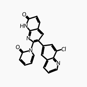 O=c1ccc2cc(-c3cc(Cl)c4ncccc4c3)c(-n3ccccc3=O)nc2[nH]1